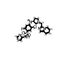 CN(c1cc(F)c(S(=O)(=O)Nc2cscn2)cc1Cl)[C@H]1CCN(Cc2ncc3ccccn23)C1